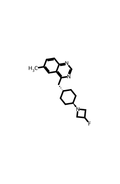 Cc1ccc2ncnc(C[C@H]3CC[C@H](N4CC(F)C4)CC3)c2c1